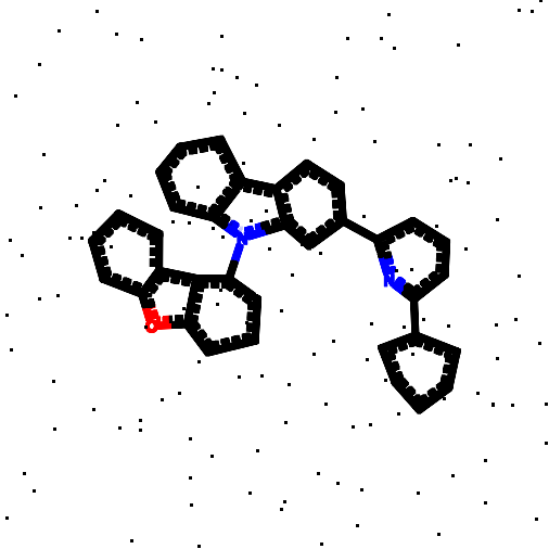 c1ccc(-c2cccc(-c3ccc4c5ccccc5n(-c5cccc6oc7ccccc7c56)c4c3)n2)cc1